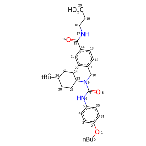 CCCCOc1ccc(NC(=O)N(Cc2ccc(C(=O)NCCC(=O)O)cc2)C2CCC(C(C)(C)C)CC2)cc1